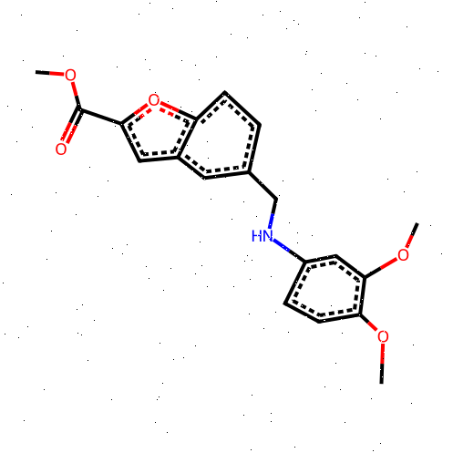 COC(=O)c1cc2cc(CNc3ccc(OC)c(OC)c3)ccc2o1